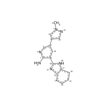 Cn1cc(-c2cnc(N)c(-c3nc4ccccc4[nH]3)c2)cn1